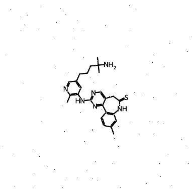 Cc1ccc2c(c1)NC(=S)Cc1cnc(Nc3cc(CCCC(C)(C)N)cnc3C)nc1-2